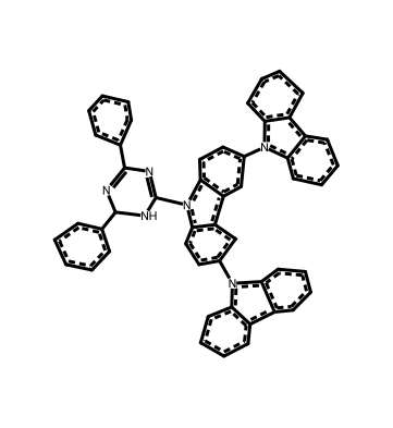 c1ccc(C2=NC(c3ccccc3)NC(n3c4ccc(-n5c6ccccc6c6ccccc65)cc4c4cc(-n5c6ccccc6c6ccccc65)ccc43)=N2)cc1